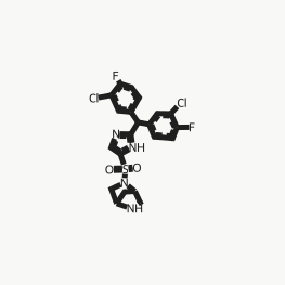 O=S(=O)(c1cnc(C(c2ccc(F)c(Cl)c2)c2ccc(F)c(Cl)c2)[nH]1)N1CC2CC1CN2